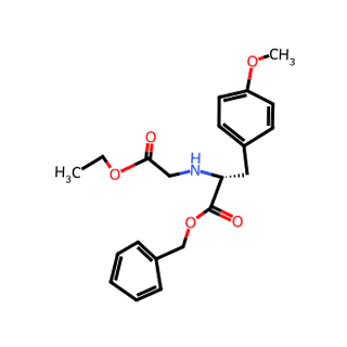 CCOC(=O)CN[C@H](Cc1ccc(OC)cc1)C(=O)OCc1ccccc1